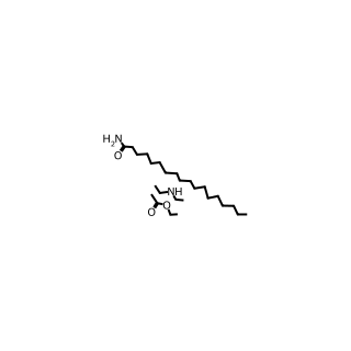 CCCCCCCCCCCCCCCCCC(N)=O.CCNCC.CCOC(C)=O